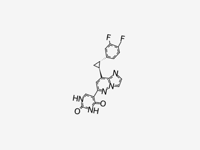 O=c1[nH]cc(-c2cc([C@H]3C[C@@H]3c3ccc(F)c(F)c3)c3nccn3n2)c(=O)[nH]1